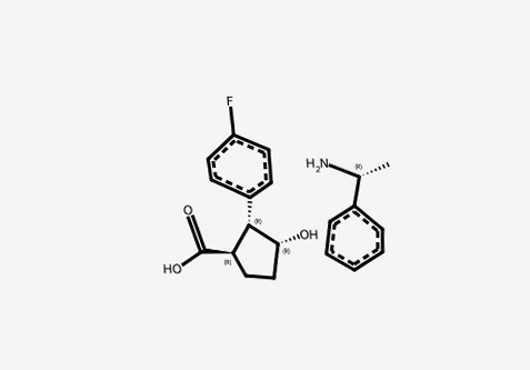 C[C@@H](N)c1ccccc1.O=C(O)[C@@H]1CC[C@@H](O)[C@H]1c1ccc(F)cc1